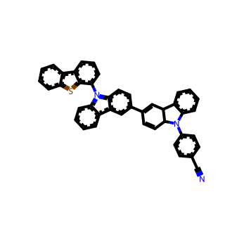 N#Cc1ccc(N2c3ccccc3C3C=C(c4ccc5c(c4)c4ccccc4n5-c4cccc5c4sc4ccccc45)C=CC32)cc1